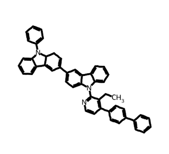 CCc1c(-c2ccc(-c3ccccc3)cc2)ccnc1-n1c2ccccc2c2cc(C3=CCC4C(=C3)c3ccccc3N4c3ccccc3)ccc21